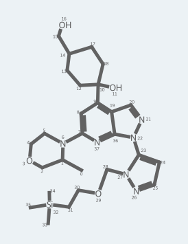 CC1COCCN1c1cc(C2(O)CCC(CO)CC2)c2cnn(-c3ccnn3COCC[Si](C)(C)C)c2n1